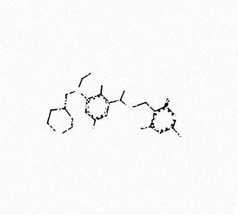 CCN(CC1CCOCC1)c1cc(Cl)cc(C(O)NCc2c(C)cc(C)[nH]c2=O)c1C